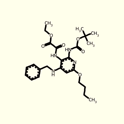 CCCCOc1cc(NCc2ccccc2)c(NC(=O)C(=O)OCC)c(NC(=O)OC(C)(C)C)n1